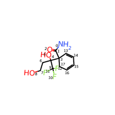 NC(=O)C1(C(O)(CCO)C(F)(F)F)C=CC=CC1